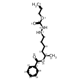 C=CCOC(=O)NNCCCC[C@@H](C)OC(=O)c1ccccc1